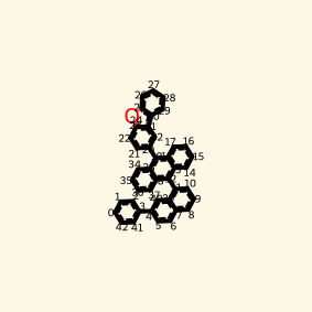 c1ccc(-c2ccc3cccc(-c4c5ccccc5c(-c5ccc6oc7ccccc7c6c5)c5ccccc45)c3c2)cc1